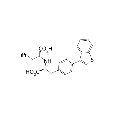 CC(C)C[C@H](N[C@@H](Cc1ccc(-c2csc3ccccc23)cc1)C(=O)O)C(=O)O